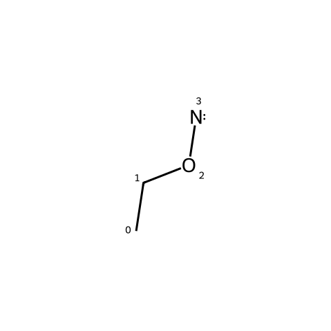 CCO[N]